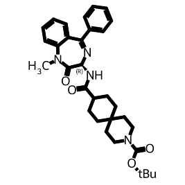 CN1C(=O)[C@H](NC(=O)C2CCC3(CC2)CCN(C(=O)OC(C)(C)C)CC3)N=C(c2ccccc2)c2ccccc21